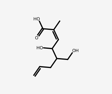 C=CCC(CO)C(O)C=C(C)C(=O)O